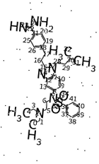 CCN(CC)CCN(c1ccc2c(c1)nc(CCc1ccc(C(=N)N)cc1)n2CCC(C)C)S(=O)(=O)c1ccccc1